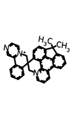 CC1(C)c2cccc3c4ccc[n+]5c4c4c(ccc1c4c23)C1(C[n+]2ccncc2-c2ccccc21)C5